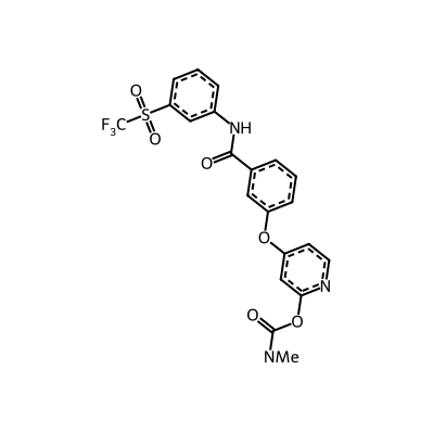 CNC(=O)Oc1cc(Oc2cccc(C(=O)Nc3cccc(S(=O)(=O)C(F)(F)F)c3)c2)ccn1